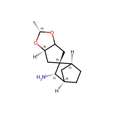 C[C@@H]1OC2C[C@@]3(C[C@H]2O1)[C@H]1CC[C@H](C1)[C@@H]3N